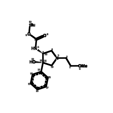 COCCN1C[C@@H](NC(=O)OC(C)(C)C)[C@](O)(c2ccccc2)C1